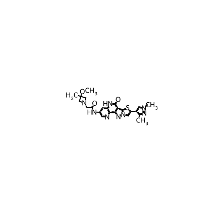 COC1(C)CN(CC(=O)Nc2cnc3c(c2)[nH]c(=O)c2c3nn3cc(-c4cn(C)nc4C)sc23)C1